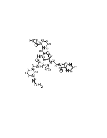 Cl.NN=CN1CCC[C@@H](CNC(=O)C[C@H](NC(=O)CN2CCCCC2=O)C(=O)N(CCNC(=O)c2cnccn2)C2CC2)C1